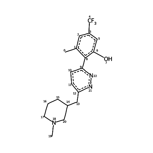 Cc1cc(C(F)(F)F)cc(O)c1-c1ccc(CC2CCCN(C)C2)nn1